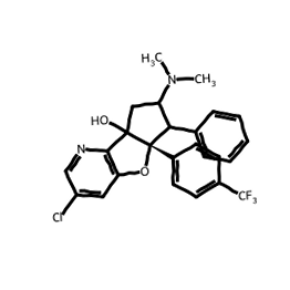 CN(C)C1CC2(O)c3ncc(Cl)cc3O[C@@]2(c2ccc(C(F)(F)F)cc2)C1c1ccccc1